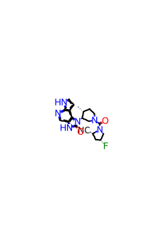 C[C@@H]1CCN(C(=O)N2C[C@H](F)C[C@@H]2C#N)C[C@@H]1n1c(=O)[nH]c2cnc3[nH]ccc3c21